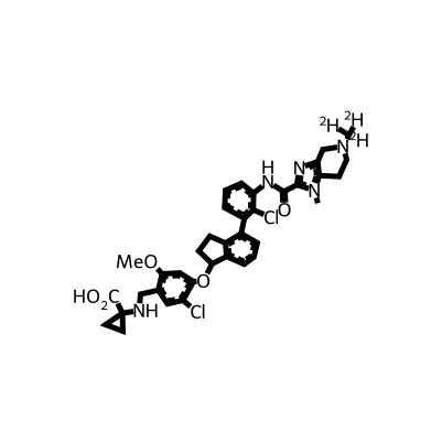 [2H]C([2H])([2H])N1CCc2c(nc(C(=O)Nc3cccc(-c4cccc5c4CCC5Oc4cc(OC)c(CNC5(C(=O)O)CC5)cc4Cl)c3Cl)n2C)C1